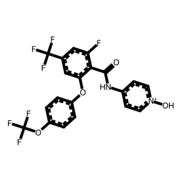 O=C(Nc1cc[n+](O)cc1)c1c(F)cc(C(F)(F)F)cc1Oc1ccc(OC(F)(F)F)cc1